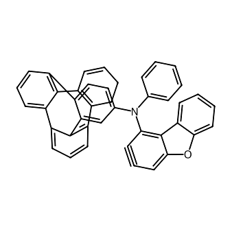 c1cc2oc3ccccc3c2c(N(c2ccccc2)c2ccc3c(c2)-c2c4cccc2-c2cccc-3c2C2=C4CCC=C2)c#1